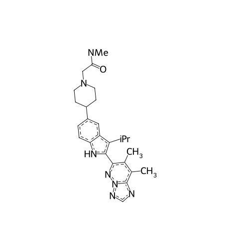 CNC(=O)CN1CCC(c2ccc3[nH]c(-c4nn5ncnc5c(C)c4C)c(C(C)C)c3c2)CC1